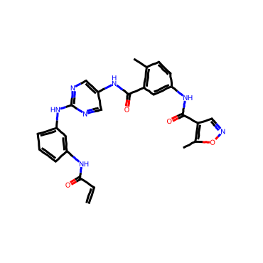 C=CC(=O)Nc1cccc(Nc2ncc(NC(=O)c3cc(NC(=O)c4cnoc4C)ccc3C)cn2)c1